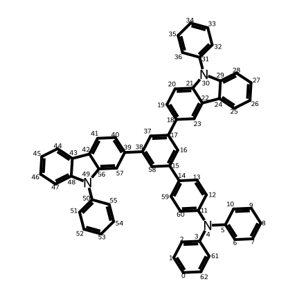 c1ccc(N(c2ccccc2)c2ccc(-c3cc(-c4ccc5c(c4)c4ccccc4n5-c4ccccc4)cc(-c4ccc5c6ccccc6n(-c6ccccc6)c5c4)c3)cc2)cc1